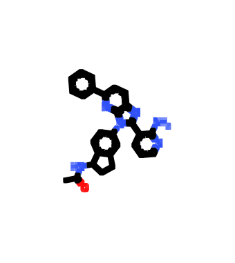 CC(=O)NC1CCc2cc(-n3c(-c4cccnc4N)nc4ccc(-c5ccccc5)nc43)ccc21